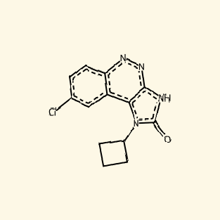 O=c1[nH]c2nnc3ccc(Cl)cc3c2n1C1CCC1